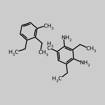 CCc1cc(C)c(N)c(CC)c1N.CCc1cccc(C)c1CC